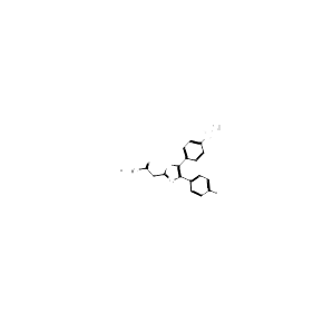 CN(O)C(=O)Cc1nc(-c2ccc(F)cc2)c(-c2ccc(S(N)(=O)=O)cc2)o1